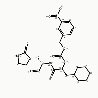 O=C[C@H](C[C@@H]1CCNC1=O)NC(=O)[C@H](CC1CCCCC1)NC(=O)OCc1cccc([N+](=O)[O-])c1